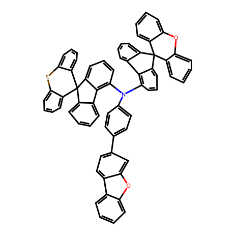 c1ccc2c(c1)Oc1ccccc1C21c2ccccc2-c2c(N(c3ccc(-c4ccc5c(c4)oc4ccccc45)cc3)c3cccc4c3-c3ccccc3C43c4ccccc4Sc4ccccc43)cccc21